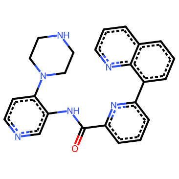 O=C(Nc1cnccc1N1CCNCC1)c1cccc(-c2cccc3cccnc23)n1